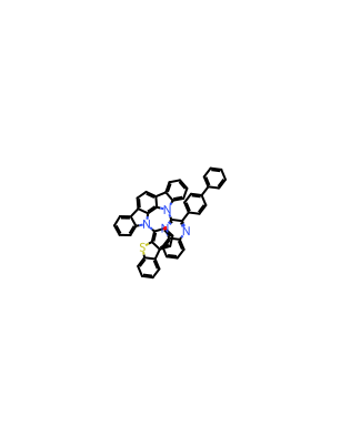 c1ccc(-c2ccc(-c3nc4ccccc4nc3-n3c4ccccc4c4ccc5c6ccccc6n(-c6cccc7c6sc6ccccc67)c5c43)cc2)cc1